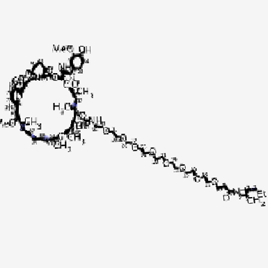 C=C(/C=C\CC)CNC(=O)CCOCCOCCOCCOCCOCCOCCOCCOCCNC(=O)O[C@@H]1/C(C)=C/[C@@H](C)C(=O)C[C@@H]([C@H](N)C[C@@H]2CC[C@@H](O)[C@H](OC)C2)OC(=O)[C@@H]2CCCCN2C(=O)C(=O)[C@]2(O)O[C@@H](CC[C@H]2C)C[C@H](OC)/C(C)=C/C=C/C=C/[C@@H](C)C[C@@H](C)C(=O)[C@@H]1O